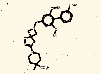 CCOc1cc(CN2CC3(CC(N4CCC(C)(C(=O)O)CC4)=NO3)C2)cc(OCC)c1-c1cccc(OC)c1